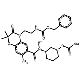 CC(C)N(C(=O)c1cc2c(cc1C(F)(F)F)OC(C)(C)C(=O)N2CCNC(=O)OCc1ccccc1)[C@@H]1CCCN(OC(=O)C(C)(C)C)C1